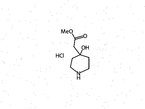 COC(=O)CC1(O)CCNCC1.Cl